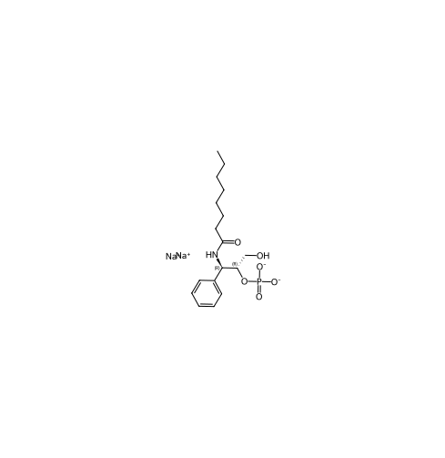 CCCCCCCC(=O)N[C@H](c1ccccc1)[C@H](CO)OP(=O)([O-])[O-].[Na+].[Na+]